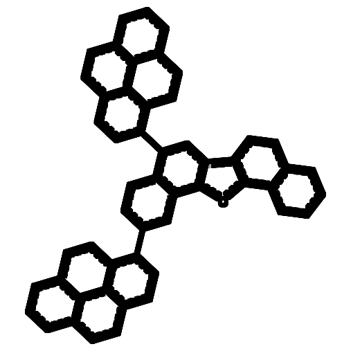 c1ccc2c(c1)ccc1c3cc(-c4ccc5ccc6cccc7ccc4c5c67)c4ccc(-c5ccc6ccc7cccc8ccc5c6c78)cc4c3oc21